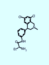 CC[C@H](N)C(=O)Nc1cccc(C2CN(C)Cc3c(Cl)cc(Cl)cc32)c1